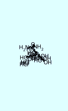 Cl.Cl.Cl.NCC[C@H](NCCCN(C[C@H](O)[C@@H](O)[C@H](O)[C@H](O)CO)C[C@H](O)[C@@H](O)[C@H](O)[C@H](O)CO)C(N)=O